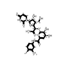 NC(=O)[C@H](O[C@H]1OC(C(=O)Nc2ccc(F)c(C(F)(F)F)c2)=C[C@H](O)[C@@H]1O)[C@H]1O[C@@H](n2ccc(=O)[nH]c2=O)[C@H](O)[C@@H]1CO